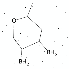 BC1COC(C)CC1B